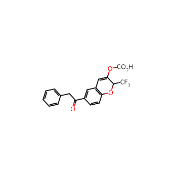 O=C(O)OC1=Cc2cc(C(=O)Cc3ccccc3)ccc2OC1C(F)(F)F